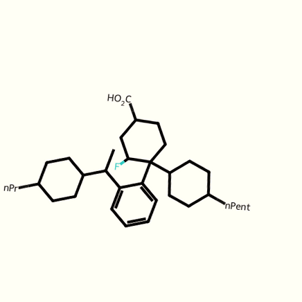 CCCCCC1CCC(C2(c3ccccc3C(C)C3CCC(CCC)CC3)CCC(C(=O)O)CC2F)CC1